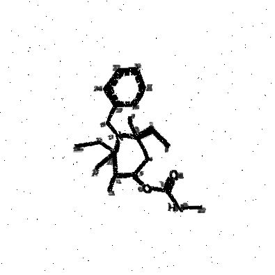 CCC1(C)CC(OC(=O)NC)C(C)C(C)(CC)N1Cc1ccccc1